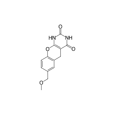 COCc1ccc2c(c1)Cc1c([nH]c(=O)[nH]c1=O)O2